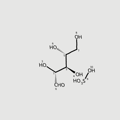 O=C[C@H](O)[C@H](O)[C@H](O)CO.O=S(=O)(O)O